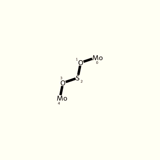 [Mo][O]S[O][Mo]